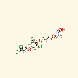 CC(COCCCCCOc1c(Cl)cc(OCC=C(Cl)Cl)cc1Cl)=NO